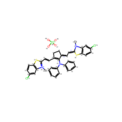 CCN1/C(=C/C=C2\CCC(C=Cc3sc4ccc(Cl)cc4[n+]3CC)=C2N(c2ccccc2)c2ccccc2)Sc2ccc(Cl)cc21.[O-][Cl+3]([O-])([O-])[O-]